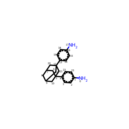 Nc1ccc(C23CC4CC(C2)CC(c2ccc(N)cc2)(C4)C3)cc1